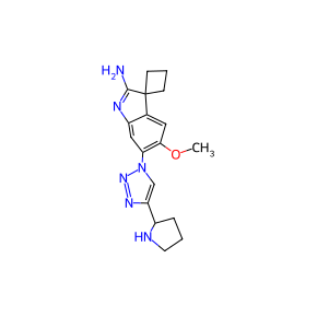 COc1cc2c(cc1-n1cc(C3CCCN3)nn1)N=C(N)C21CCC1